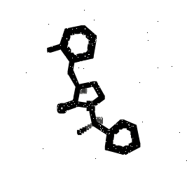 Cc1ccccc1C[C@H]1CCN([C@@H](C)c2ccccc2)C1=O